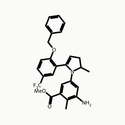 COC(=O)c1cc(N2C(c3cc(C(F)(F)F)ccc3OCc3ccccc3)=CCC2C)cc(N)c1C